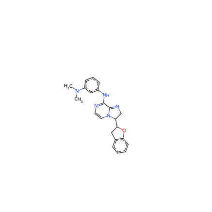 CN(C)c1cccc(NC2=NC=CN3C2=NCC3C2Cc3ccccc3O2)c1